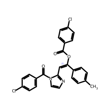 Cc1ccc(/C(=C\c2nccn2C(=O)c2ccc(Cl)cc2)OC(=O)c2ccc(Cl)cc2)cc1